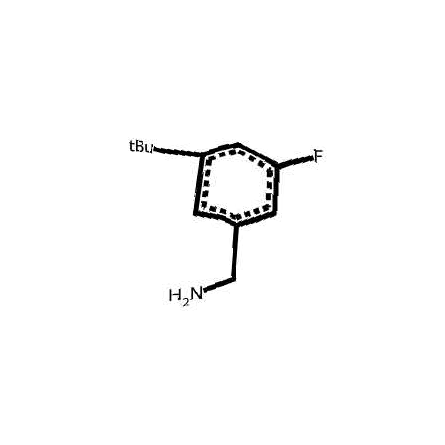 CC(C)(C)c1cc(F)cc(CN)c1